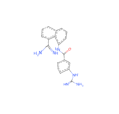 N=C(N)Nc1cccc(C(=O)Nc2cccc3cccc(C(=N)N)c23)c1